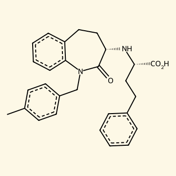 Cc1ccc(CN2C(=O)[C@@H](N[C@@H](CCc3ccccc3)C(=O)O)CCc3ccccc32)cc1